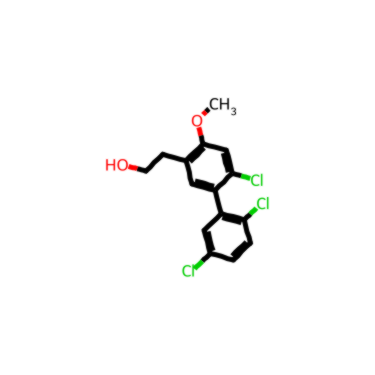 COc1cc(Cl)c(-c2cc(Cl)ccc2Cl)cc1CCO